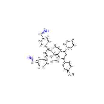 N#CC1=CCC(C2CC(C3=CC=CCC3)=C3C=CC4=C(C5C=CC(C=N)=CC5)C=C(C5=CC(C=N)=CCC5)C5C=CC2=C3C45)C=C1